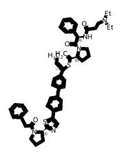 C=C(S/C(=C\C)c1ccc(-c2ccc(-c3cnc([C@@H]4CCCN4C(=O)Cc4ccccc4)s3)cc2)cc1)[C@@H]1CCCN1C(=O)[C@H](NC(=O)CCN(CC)CC)c1ccccc1